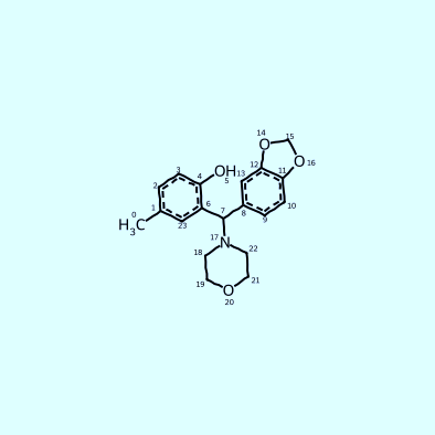 Cc1ccc(O)c(C(c2ccc3c(c2)OCO3)N2CCOCC2)c1